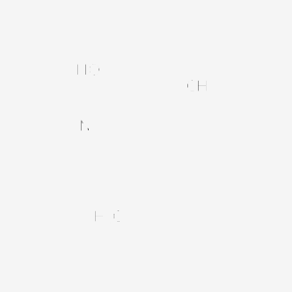 C=Cc1cnc(O)c(CC)c1